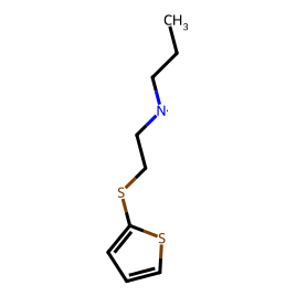 CCC[N]CCSc1cccs1